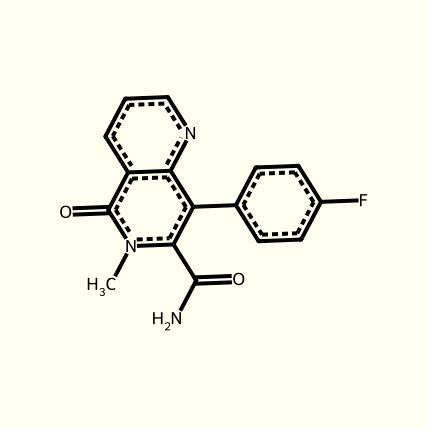 Cn1c(C(N)=O)c(-c2ccc(F)cc2)c2ncccc2c1=O